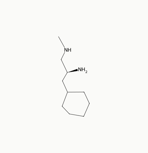 CNC[C@@H](N)CC1CCCCC1